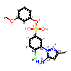 COc1cccc(OS(=O)(=O)c2ccc(Cl)c(-n3nc(C)cc3N)c2)c1